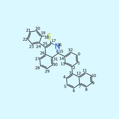 c1cc(-c2cccc3ccccc23)cc(-c2nc3sc4ccccc4c3c3ccccc23)c1